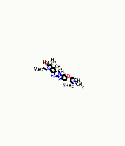 C=N/C(=C\C(=C/C)Oc1ccc2nc(Nc3cc4c(c(C(F)(F)F)c3)C(C)(C)C(=O)N4CCOC)n(C)c2c1)NC(C)=O